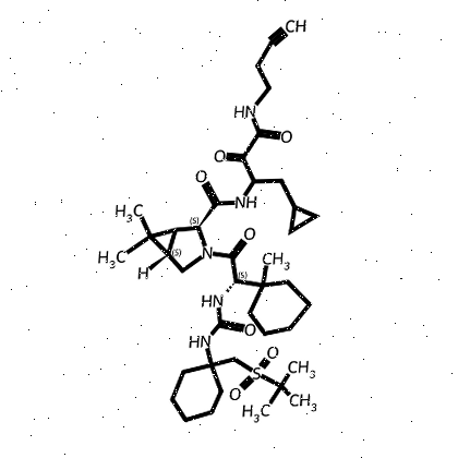 C#CCCNC(=O)C(=O)C(CC1CC1)NC(=O)[C@@H]1C2[C@H](CN1C(=O)[C@@H](NC(=O)NC1(CS(=O)(=O)C(C)(C)C)CCCCC1)C1(C)CCCCC1)C2(C)C